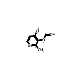 Cc1nccc(Cl)c1OC=O